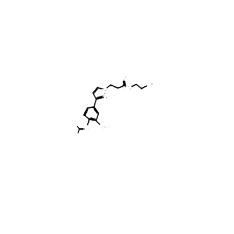 O=C(CCn1ccc(-c2ccc(OC(F)F)c(O)c2)n1)NCCO